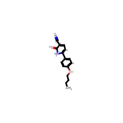 CCCCOc1ccc(-c2ccc(C#N)c(=O)[nH]2)cc1